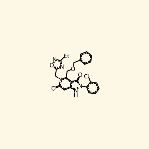 CCc1noc(Cn2c(COCc3ccccc3)c3c(=O)n(-c4ccccc4Cl)[nH]c3cc2=O)n1